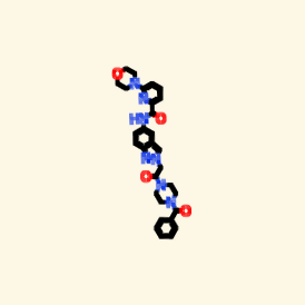 O=C(Nc1ccc2nn(CC(=O)N3CCN(C(=O)c4ccccc4)CC3)cc2c1)c1cccc(N2CCOCC2)n1